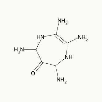 NC1=C(N)NC(N)C(=O)C(N)N1